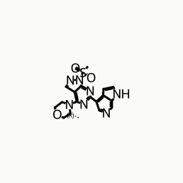 C[C@@H]1COCCN1c1nc(-c2cncc3[nH]ccc23)nc2c1cnn2S(C)(=O)=O